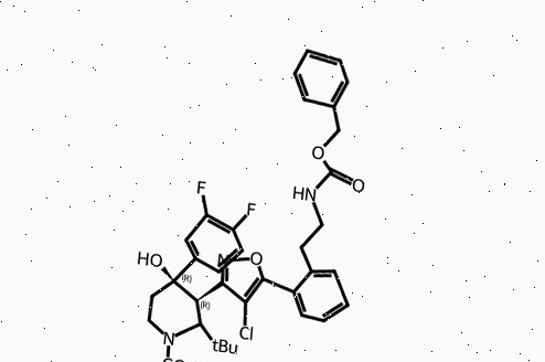 CC(C)(C)C1[C@H](c2noc(-c3ccccc3CCNC(=O)OCc3ccccc3)c2Cl)[C@@](O)(c2ccc(F)c(F)c2)CCN1C(=O)O